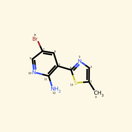 Cc1cnc(-c2cc(Br)cnc2N)s1